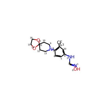 O/N=C/Nc1ccc(N2CCC3(CC2)OCCO3)c(C(F)(F)F)c1